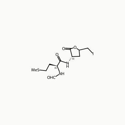 CSCC[C@H](NC=O)C(=O)N[C@H]1CC(CI)OC1=O